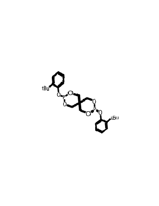 CC(C)(C)c1ccccc1OP1OCC2(CO1)COP(Oc1ccccc1C(C)(C)C)OC2